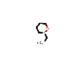 O=C(O)[CH2][Al]1[CH2]CCC[O]1